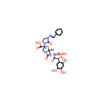 O=C(N[C@@H]1C(=O)N2C[C@@](C(=O)O)(N3CCN(N=Cc4ccccc4)C3=O)S[C@H]12)C(c1cc(O)c(O)cc1Cl)S(=O)(=O)O